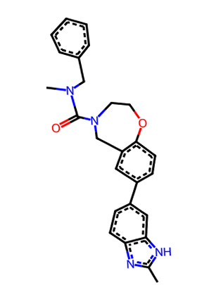 Cc1nc2ccc(-c3ccc4c(c3)CN(C(=O)N(C)Cc3ccccc3)CCO4)cc2[nH]1